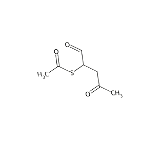 CC(=O)CC(C=O)SC(C)=O